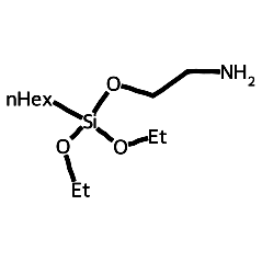 CCCCCC[Si](OCC)(OCC)OCCN